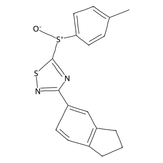 Cc1ccc([S+]([O-])c2nc(-c3ccc4c(c3)CCC4)ns2)cc1